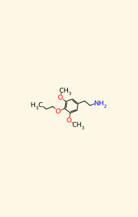 CCCOc1c(OC)cc(CCN)cc1OC